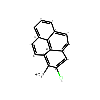 O=S(=O)(O)c1c(Cl)cc2ccc3cccc4ccc1c2c34